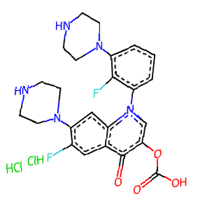 Cl.Cl.O=C(O)Oc1cn(-c2cccc(N3CCNCC3)c2F)c2cc(N3CCNCC3)c(F)cc2c1=O